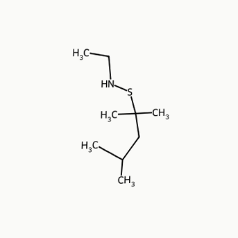 CCNSC(C)(C)CC(C)C